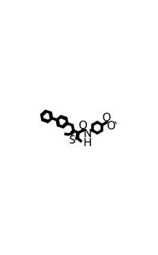 COC(=O)C1CCC(NC(=O)c2c(C)sc(C)c2Cc2ccc(-c3ccccc3)cc2)CC1